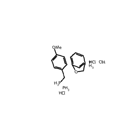 COc1ccc(CP)cc1.Cl.Cl.Cl.P.P.c1cc2cc(c1)OC2